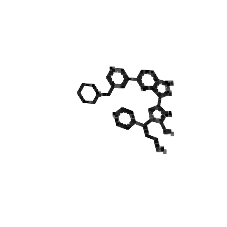 C=C/C=C(/c1ccncc1)c1cc(-c2n[nH]c3ccc(-c4cncc(CN5CCCCC5)c4)nc23)[nH]c1C